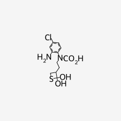 Nc1cc(Cl)ccc1N(CCC1CSC1(O)O)C(=O)O